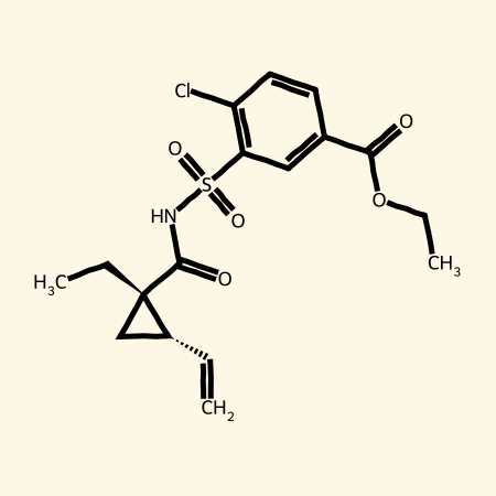 C=C[C@@H]1C[C@]1(CC)C(=O)NS(=O)(=O)c1cc(C(=O)OCC)ccc1Cl